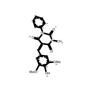 COc1cc(C=C2C(=O)N(C)C(=O)N(c3ccccc3)C2=O)cc(OC)c1O